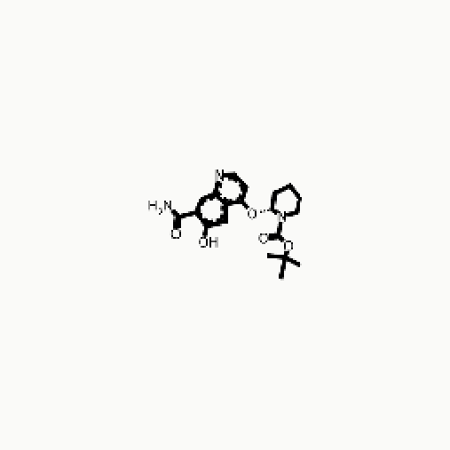 CC(C)(C)OC(=O)N1CCCC[C@H]1Oc1ccnc2cc(C(N)=O)c(O)cc12